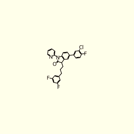 O=C1C(CCCc2cc(F)cc(F)c2)c2cc(-c3ccc(F)c(Cl)c3)ccc2N1c1ccccn1